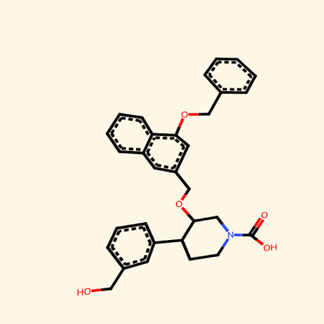 O=C(O)N1CCC(c2cccc(CO)c2)C(OCc2cc(OCc3ccccc3)c3ccccc3c2)C1